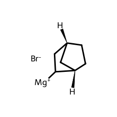 [Br-].[Mg+][CH]1C[C@@H]2CC[C@H]1C2